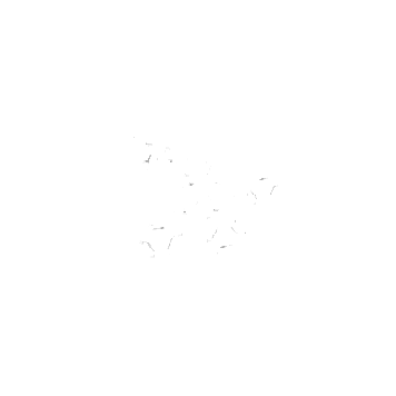 C[C@H]1[C@H](OCc2ccccc2)[C@@H](OCc2ccccc2)C(OCc2ccccc2)O[C@@H]1COCC(=O)O